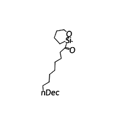 CCCCCCCCCCCCCCCCCC(=O)[Si]1(C)CCCCO1